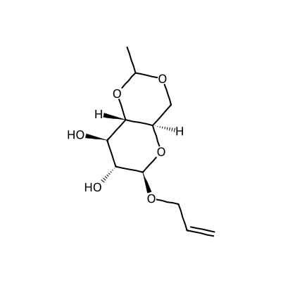 C=CCO[C@@H]1O[C@@H]2COC(C)O[C@H]2[C@H](O)[C@H]1O